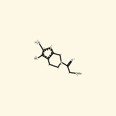 COCC(=O)N1CCc2c(sc(N)c2C#N)C1